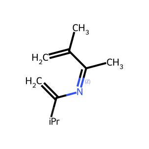 C=C(C)/C(C)=N\C(=C)C(C)C